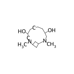 CN1CC(O)CCCCC(O)CN(C)C2CC1C2